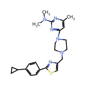 Cc1cc(N2CCN(Cc3csc(-c4ccc(C5CC5)cc4)n3)CC2)nc(N(C)C)n1